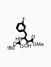 COC(=O)C(O)C(Cc1cccc(F)c1)NC(=O)OC(C)(C)C